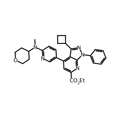 CCOC(=O)c1cc(-c2ccc(N(C)C3CCOCC3)nc2)c2c(C3CCC3)nn(-c3ccccc3)c2n1